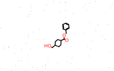 O=C(OCc1ccccc1)C1CCC(CO)CC1